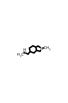 CNCC1CCC2CN(C)CC2C1